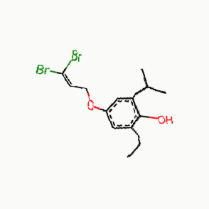 CCc1cc(OCC=C(Br)Br)cc(C(C)C)c1O